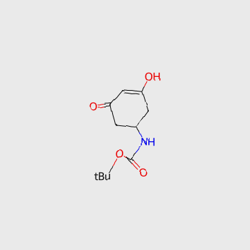 CC(C)(C)OC(=O)NC1CC(=O)C=C(O)C1